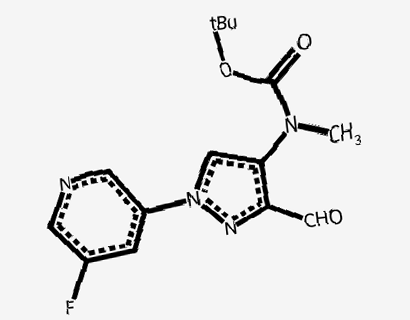 CN(C(=O)OC(C)(C)C)c1cn(-c2cncc(F)c2)nc1C=O